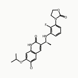 CC(C)Oc1cc2[nH]c(=O)c([C@H](C)Nc3cccc(N4CCOC4=O)c3F)cc2cc1Cl